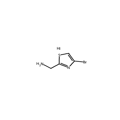 I.NCc1nc(Br)cs1